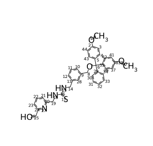 COc1ccc(C(OCc2cccc(CNC(=S)NCc3cccc(CO)n3)c2)(c2ccccc2)c2ccc(OC)cc2)cc1